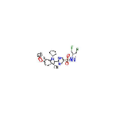 N#Cc1c(-c2ncc(S(=O)(=O)NC(CF)CF)cn2)n(C2CCCC2)c2cc(OC(F)(F)F)ccc12